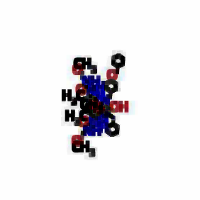 COCCNC(=O)N[C@H](C(=O)NC(Cc1ccccc1)[C@@H](O)CN(Cc1ccc(OCc2ccccc2)cc1)NC(=O)[C@@H](NC(=O)NCCOC)C(C)C)C(C)C